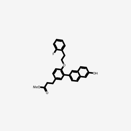 COC(=O)CCc1ccc(OCCc2ccccc2F)c(-c2ccc3cc(O)ccc3c2)c1